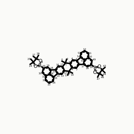 CC1(C)c2cc3c(cc2C(C)(C)c2cc4c(cc21)-c1cc(B2OC(C)(C)C(C)(C)O2)cc2cccc-4c12)-c1cc(B2OC(C)(C)C(C)(C)O2)cc2cccc-3c12